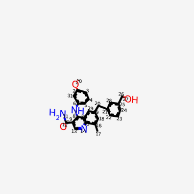 COc1cccc(Nc2c(C(N)=O)cnc3c(C)cc(Cc4cccc(CO)c4)cc23)c1